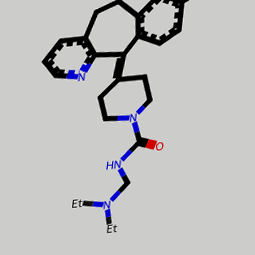 CCN(CC)CNC(=O)N1CCC(=C2c3ccc(Cl)cc3CCc3cccnc32)CC1